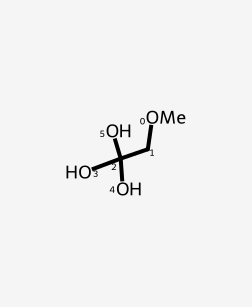 COCC(O)(O)O